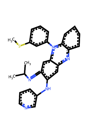 CSc1cccc(-n2c3cc(=NC(C)C)c(Nc4cccnc4)cc-3nc3ccccc32)c1